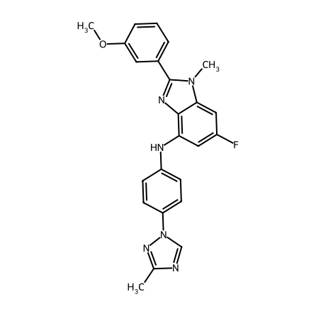 COc1cccc(-c2nc3c(Nc4ccc(-n5cnc(C)n5)cc4)cc(F)cc3n2C)c1